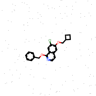 Clc1cc2c(OCc3ccccc3)nccc2cc1OCC1CCC1